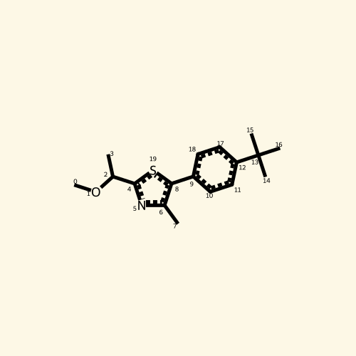 COC(C)c1nc(C)c(-c2ccc(C(C)(C)C)cc2)s1